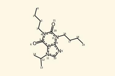 CCCCn1c(=O)c2c(ncn2C(C)C)n(CCCC)c1=O